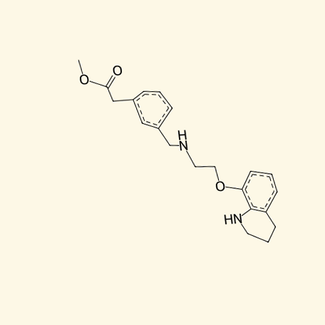 COC(=O)Cc1cccc(CNCCOc2cccc3c2NCCC3)c1